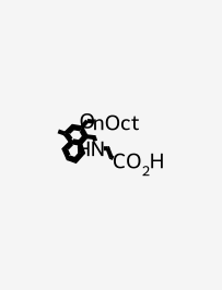 CCCCCCCCOc1cc(C)c2ccccc2c1CNCCC(=O)O